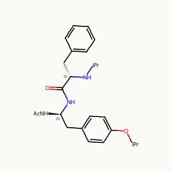 CC(=O)N[C@H](Cc1ccc(OC(C)C)cc1)NC(=O)[C@H](Cc1ccccc1)NC(C)C